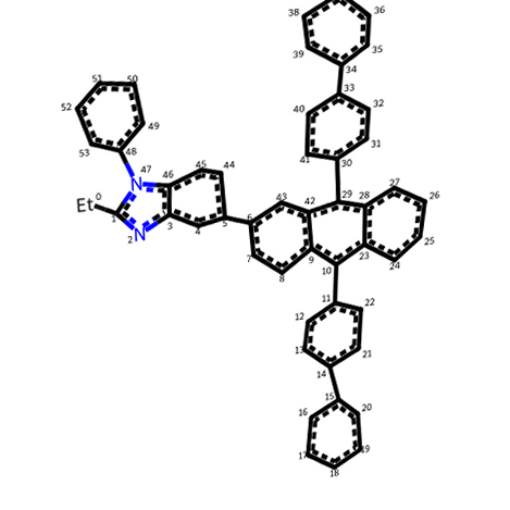 CCc1nc2cc(-c3ccc4c(-c5ccc(-c6ccccc6)cc5)c5ccccc5c(-c5ccc(-c6ccccc6)cc5)c4c3)ccc2n1-c1ccccc1